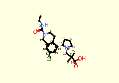 CCNC(=O)N1CCc2c(cc(Cl)cc2[C@@H]2CCCN2CC(C)(C)C(=O)O)C1